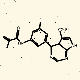 C=C(C)C(=O)Nc1cc(F)cc(C2N=CN=C3NC=C(C(=O)OCC)C32)c1